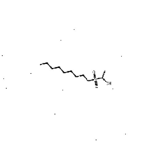 CCCCCCCCCS(=O)(=O)C(C)O